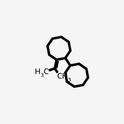 CC(C)=C1CCCCCCC1C1CCCCCCC1